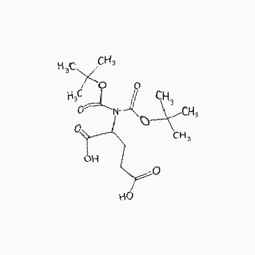 CC(C)(C)OC(=O)N(C(=O)OC(C)(C)C)C(CCC(=O)O)C(=O)O